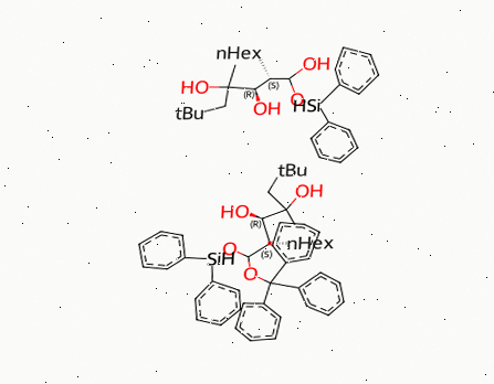 CCCCCC[C@H](C(O)O[SiH](c1ccccc1)c1ccccc1)[C@@H](O)C(C)(O)CC(C)(C)C.CCCCCC[C@H](C(O[SiH](c1ccccc1)c1ccccc1)OC(c1ccccc1)(c1ccccc1)c1ccccc1)[C@@H](O)C(C)(O)CC(C)(C)C